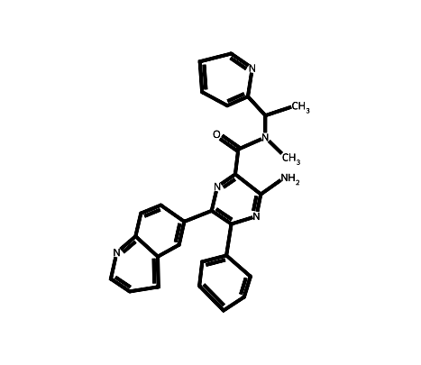 CC(c1ccccn1)N(C)C(=O)c1nc(-c2ccc3ncccc3c2)c(-c2ccccc2)nc1N